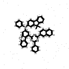 CC1(C)c2ccccc2-c2ccc(N(c3ccccc3)c3cc(-c4nc(-c5ccccc5)nc(-c5ccc6ccccc6c5)n4)c4c(c3)oc3ccccc34)cc21